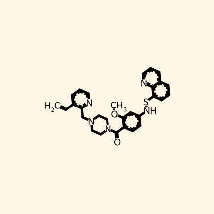 C=Cc1cccnc1CN1CCN(C(=O)c2ccc(NSc3cccc4cccnc34)cc2OC)CC1